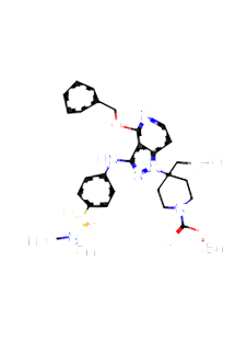 CN(C)S(=O)(=O)c1ccc(Nc2nn(C3(CC=O)CCN(C(=O)OC(C)(C)C)CC3)c3ccnc(OCc4ccccc4)c23)cc1